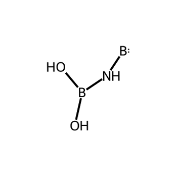 [B]NB(O)O